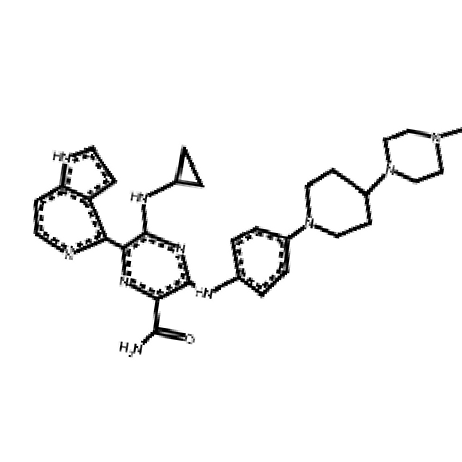 CN1CCN(C2CCN(c3ccc(Nc4nc(NC5CC5)c(-c5nccc6[nH]ccc56)nc4C(N)=O)cc3)CC2)CC1